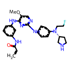 C=CC(=O)Nc1cccc(Nc2nc(Nc3ccc(N(CCF)[C@@H]4CCNC4)cc3)ncc2OC)c1